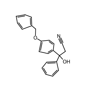 N#CCC(O)(c1ccccc1)c1ccc(OCc2ccccc2)cc1